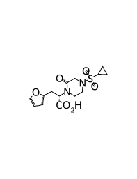 O=C(O)[C@H](Cc1ccco1)N1CCN(S(=O)(=O)C2CC2)CC1=O